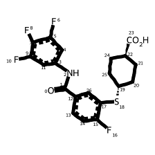 O=C(Nc1cc(F)c(F)c(F)c1)c1ccc(F)c(S[C@H]2CC[C@H](C(=O)O)CC2)c1